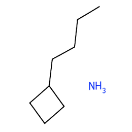 CCCCC1CCC1.N